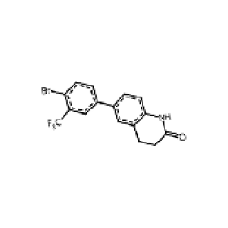 O=C1CCc2cc(-c3ccc(Br)c(C(F)(F)F)c3)ccc2N1